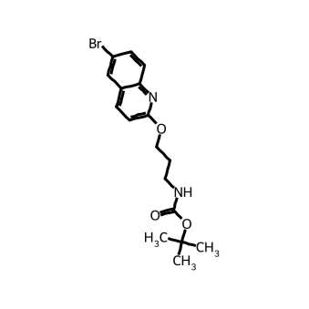 CC(C)(C)OC(=O)NCCCOc1ccc2cc(Br)ccc2n1